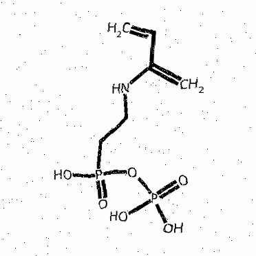 C=CC(=C)NCCP(=O)(O)OP(=O)(O)O